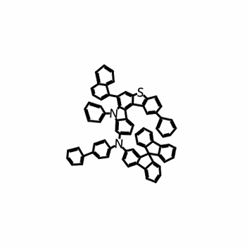 c1ccc(-c2ccc(N(c3ccc4c(c3)C3(c5ccccc5-c5ccccc53)c3ccccc3-4)c3ccc4c5c6c(cc(-c7cccc8ccccc78)c5n(-c5ccccc5)c4c3)sc3ccc(-c4ccccc4)cc36)cc2)cc1